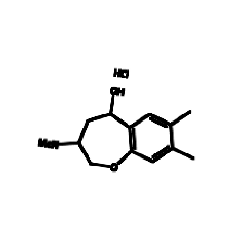 CNC1COc2cc(C)c(C)cc2C(O)C1.Cl